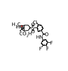 C[C@H]1CC2C[C@@H](S(=O)(=O)c3cc(C(=O)Nc4cc(F)c(F)c(F)c4)ccc3Cl)CC1[C@@]2(O)CC(=O)O